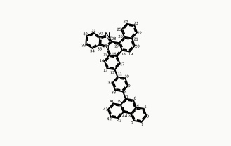 c1ccc2c(c1)cc(-c1ccc(-c3ccc4c(c3)c3ccc5ccccc5c3c3nc5ccccc5n43)cc1)c1ccccc12